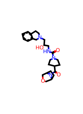 O=C(NC[C@H](O)CN1CCc2ccccc2C1)N1CCC(C(=O)N2C3CCC2COC3)CC1